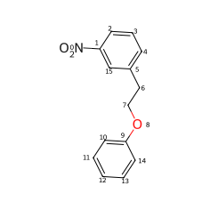 O=[N+]([O-])c1cccc(CCOc2ccccc2)c1